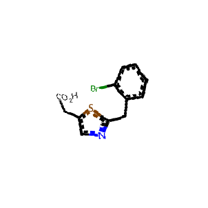 O=C(O)Cc1cnc(Cc2ccccc2Br)s1